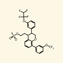 CS(=O)(=O)OCCN1c2cccc(-c3cccc(OC(F)(F)F)c3)c2OCC1c1cccc(OC(F)(F)C(F)F)c1